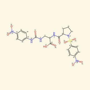 O=C(NCC(NC(=O)C1CCCN1S(=O)(=O)c1ccc([N+](=O)[O-])cc1)C(=O)O)Nc1ccc([N+](=O)[O-])cc1